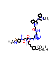 Cc1nc2ccc(NC(=O)CC(NC(=O)CCCc3ccc(CC(C(=O)O)C(=O)O)cc3)C(=O)NCCC3=CN(CCNC(=O)CC[n+]4ccc(/C=C5\C=CN(C)c6ccccc65)c5ccccc54)NN3)cc2s1